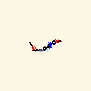 C=CCOc1ccc(-c2ncc(-c3ccc(/C=C/CCCC(C)OCCCCC)cc3F)cn2)cc1